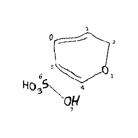 C1=CCOC=C1.O=S(=O)(O)O